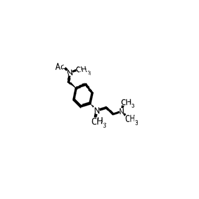 CC(=O)N(C)C[C@H]1CC[C@H](N(C)CCN(C)C)CC1